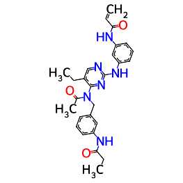 C=CC(=O)Nc1cccc(Nc2ncc(CC)c(N(Cc3cccc(NC(=O)CC)c3)C(C)=O)n2)c1